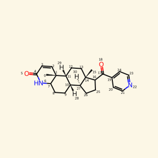 C[C@]12C=CC(=O)NC1CC[C@@H]1[C@H]2CC[C@]2(C)C(C(=O)c3ccncc3)CC[C@@H]12